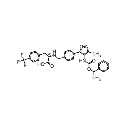 Cc1noc(-c2ccc(CN[C@H](Cc3ccc(C(F)(F)F)cc3)C(=O)O)cc2)c1NC(=O)OC(C)c1ccccc1